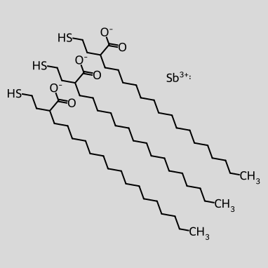 CCCCCCCCCCCCCCCCC(CCS)C(=O)[O-].CCCCCCCCCCCCCCCCC(CCS)C(=O)[O-].CCCCCCCCCCCCCCCCC(CCS)C(=O)[O-].[Sb+3]